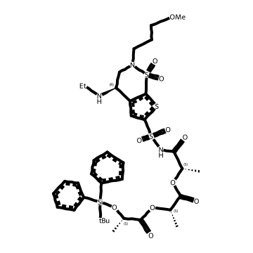 CCN[C@H]1CN(CCCOC)S(=O)(=O)c2sc(S(=O)(=O)NC(=O)[C@H](C)OC(=O)[C@H](C)OC(=O)[C@H](C)O[Si](c3ccccc3)(c3ccccc3)C(C)(C)C)cc21